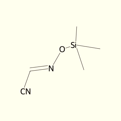 C[Si](C)(C)O/N=C/C#N